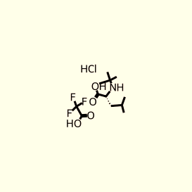 CC(C)C[C@@H](NC(C)(C)C)C(=O)O.Cl.O=C(O)C(F)(F)F